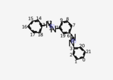 c1ccc(/N=N/c2cccc(/N=N/c3ccccc3)c2)cc1